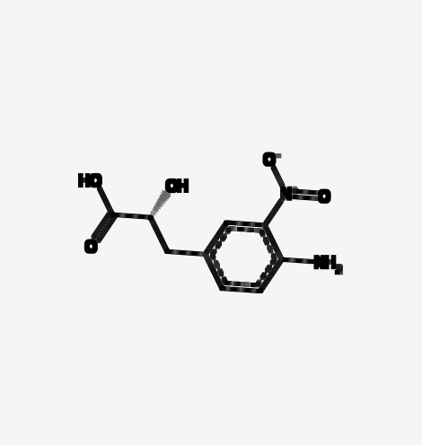 Nc1ccc(C[C@@H](O)C(=O)O)cc1[N+](=O)[O-]